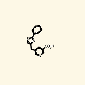 O=C(O)c1cncc(Cc2csc(-c3ccccc3)n2)c1